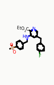 CCOC(=O)c1ncc(Cc2ccc(F)cc2)cc1NCc1ccc(S(C)(=O)=O)cc1